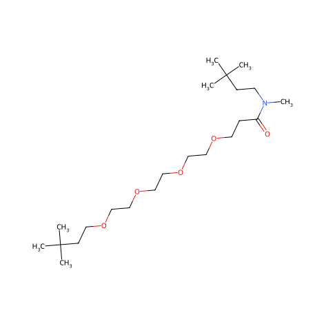 CN(CCC(C)(C)C)C(=O)CCOCCOCCOCCOCCC(C)(C)C